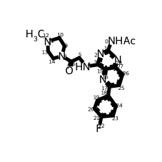 CC(=O)Nc1nc(NCC(=O)N2CCN(C)CC2)c2nc(-c3ccc(F)cc3)ccc2n1